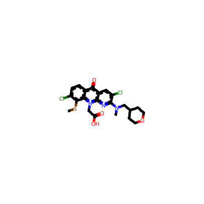 CSc1c(Cl)ccc2c(=O)c3cc(Cl)c(N(C)CC4CCOCC4)nc3n(CC(=O)O)c12